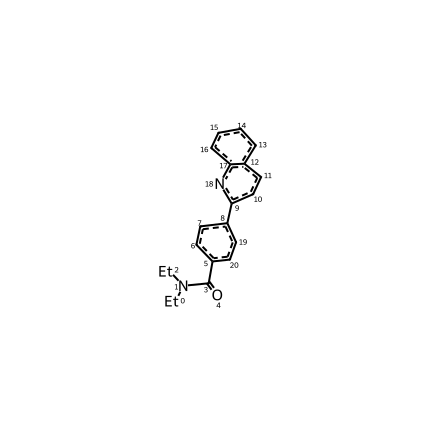 CCN(CC)C(=O)c1ccc(-c2ccc3ccccc3n2)cc1